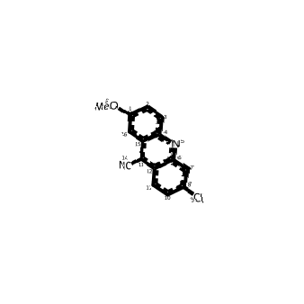 COc1ccc2nc3cc(Cl)ccc3c(C#N)c2c1